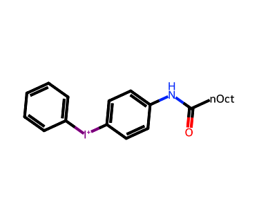 CCCCCCCCC(=O)Nc1ccc([I+]c2ccccc2)cc1